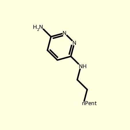 CCCCCCCNc1ccc(N)nn1